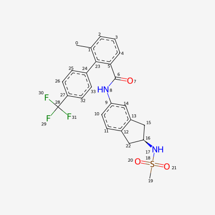 Cc1cccc(C(=O)Nc2ccc3c(c2)C[C@@H](NS(C)(=O)=O)C3)c1-c1ccc(C(F)(F)F)cc1